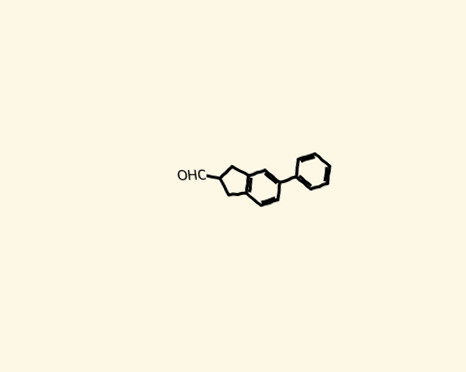 O=CC1Cc2ccc(-c3ccccc3)cc2C1